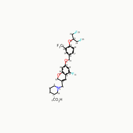 O=C(O)[C@@H]1CCCN(CC2=Cc3c(F)cc(OCc4ccc(OC(CF)CF)c(C(F)(F)F)c4)cc3OC2)C1